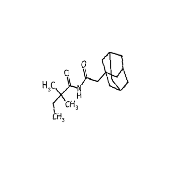 CCC(C)(C)C(=O)NC(=O)CC12CC3CC(CC(C3)C1)C2